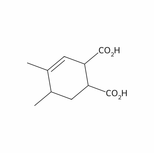 CC1=CC(C(=O)O)C(C(=O)O)CC1C